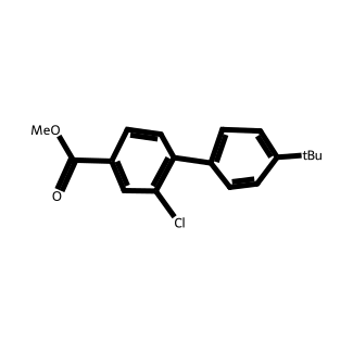 COC(=O)c1ccc(-c2ccc(C(C)(C)C)cc2)c(Cl)c1